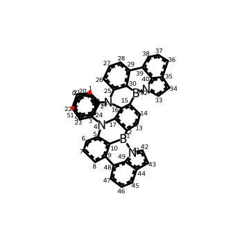 c1ccc(N2c3cccc4c3B(c3ccc5c(c32)N(c2ccccc2)c2cccc3c2B5n2ccc5cccc-3c52)n2ccc3cccc-4c32)cc1